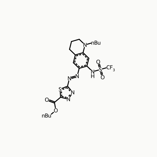 CCCCOC(=O)c1nnc(N=Nc2cc3c(cc2NS(=O)(=O)C(F)(F)F)N(CCCC)CCC3)s1